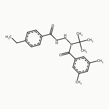 CCc1ccc(C(=O)NNN(C(=O)c2cc(C)cc(C)c2)C(C)(C)C)cc1